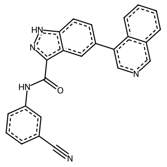 N#Cc1cccc(NC(=O)c2n[nH]c3ccc(-c4cncc5ccccc45)cc23)c1